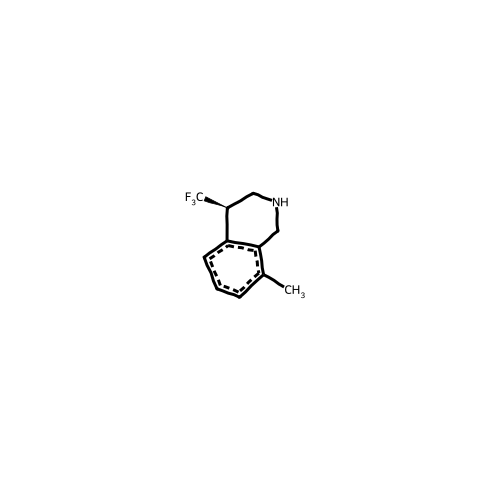 Cc1cccc2c1CNC[C@@H]2C(F)(F)F